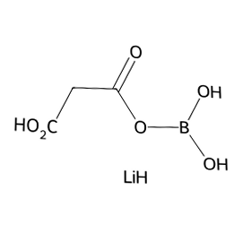 O=C(O)CC(=O)OB(O)O.[LiH]